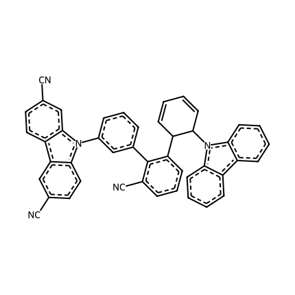 N#Cc1ccc2c(c1)c1ccc(C#N)cc1n2-c1cccc(-c2c(C#N)cccc2C2C=CC=CC2n2c3ccccc3c3ccccc32)c1